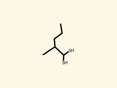 CCCC(C)C(S)S